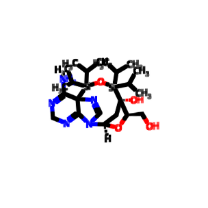 CC(C)[Si]1(C(C)C)O[Si](C(C)C)(C(C)C)[C@]2(O)C[C@@H](O[C@@H]2CO)N2C=NC13C(N)=NCN=C23